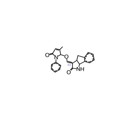 CC1=CC(=O)N(c2ccccc2)C1O/C=C1/C(=O)NC2c3ccccc3CC12